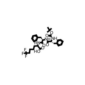 CC(C)(C)OC(=O)N[C@H](Cc1ccccc1)C(=O)N[C@H](Cc1ccccc1)C(=O)NC(CCCCC(F)(F)F)C(=O)O